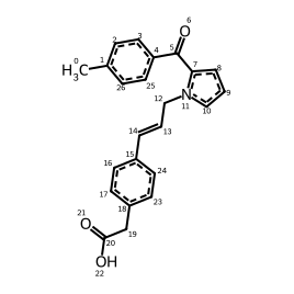 Cc1ccc(C(=O)c2cccn2C/C=C/c2ccc(CC(=O)O)cc2)cc1